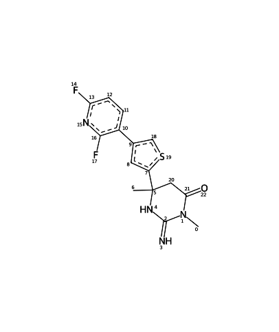 CN1C(=N)NC(C)(c2cc(-c3ccc(F)nc3F)cs2)CC1=O